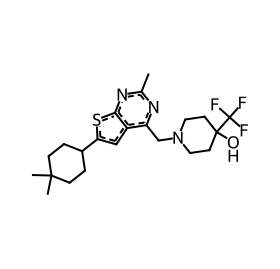 Cc1nc(CN2CCC(O)(C(F)(F)F)CC2)c2cc(C3CCC(C)(C)CC3)sc2n1